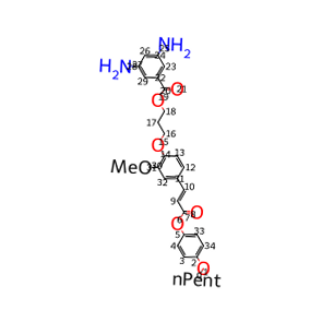 CCCCCOc1ccc(OC(=O)C=Cc2ccc(OCCCOC(=O)c3cc(N)cc(N)c3)c(OC)c2)cc1